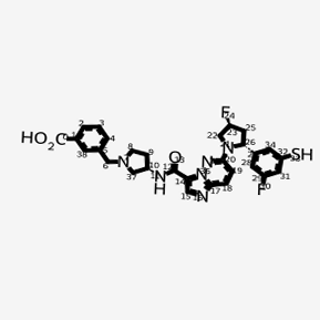 O=C(O)c1cccc(CN2CC[C@H](NC(=O)c3cnc4ccc(N5C[C@@H](F)C[C@@H]5c5cc(F)cc(S)c5)nn34)C2)c1